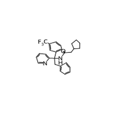 O=C(CC1CCCC1)NC(Cc1ccccc1)(c1cccc(C(F)(F)F)c1)c1ccccn1